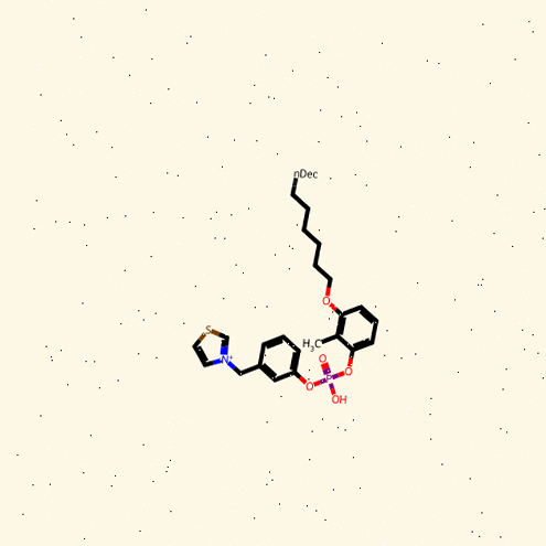 CCCCCCCCCCCCCCCCOc1cccc(OP(=O)(O)Oc2cccc(C[n+]3ccsc3)c2)c1C